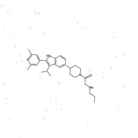 CCCNCC(=O)N1CCC(c2ccc3[nH]c(-c4cc(C)nc(C)c4)c(C(C)C)c3c2)CC1